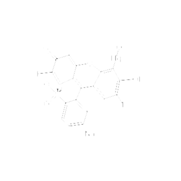 O=c1cc2oc3[c]([Hg][OH])c(O)c(I)cc3c(-c3ccccc3S(=O)(=O)[O-])c-2cc1I.[Na+]